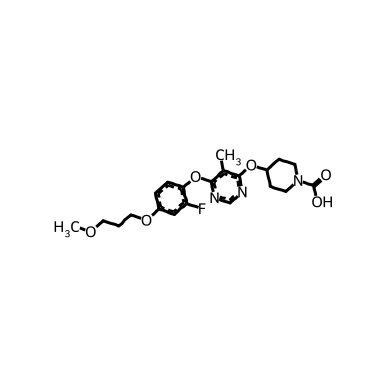 COCCCOc1ccc(Oc2ncnc(OC3CCN(C(=O)O)CC3)c2C)c(F)c1